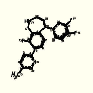 Cc1ccc(-c2ccc3c(c2F)CNCCC3c2ccc(F)c(F)c2)nn1